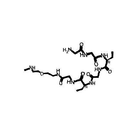 CC[C@H](NC(=O)CNC(=O)CN)C(=O)NCC(=O)N[C@@H](CC)C(=O)NCC(=O)NCCOCCNC